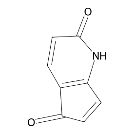 O=C1C=Cc2[nH]c(=O)ccc21